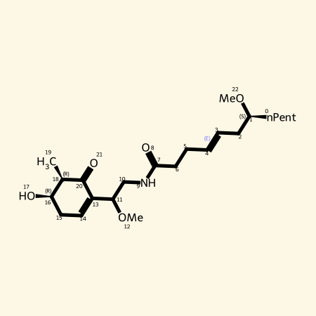 CCCCC[C@@H](C/C=C/CCC(=O)NCC(OC)C1=CC[C@@H](O)[C@@H](C)C1=O)OC